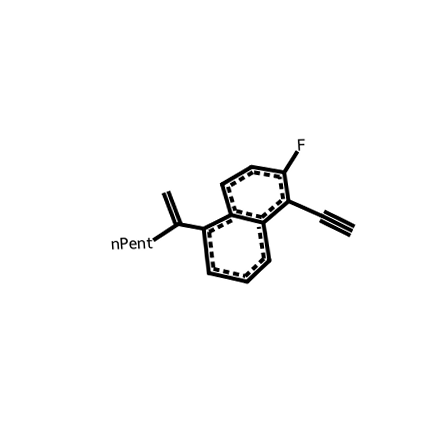 C#Cc1c(F)ccc2c(C(=C)CCCCC)cccc12